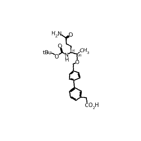 C[C@@H](OCc1ccc(-c2cccc(CC(=O)O)c2)cc1)[C@H](CCC(N)=O)NC(=O)OC(C)(C)C